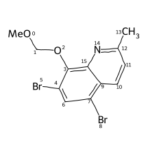 COCOc1c(Br)cc(Br)c2ccc(C)nc12